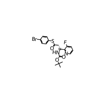 CC(C)(C)OC(=O)N[C@H](CC(=O)Sc1ccc(Br)cc1)c1ncccc1F